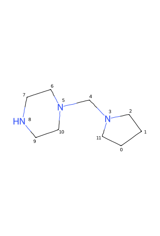 C1CCN(CN2CCNCC2)C1